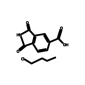 CCCCCl.O=C(O)c1ccc2c(c1)C(=O)NC2=O